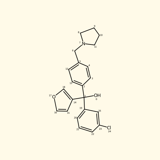 OC(c1ccc(CN2CCCC2)cc1)(c1ccoc1)c1cccc(Cl)c1